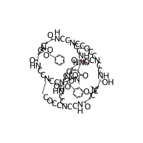 Cn1c2ccc(c1=O)C(=O)NCCN1CCNC(=O)c3ccc(c(=O)n3OCc3ccccc3)C(=O)NCCN(CCNC2=O)CCOCCN2CCNC(=O)c3ccc(n(C)c3=O)C(O)NCCN(CCNC(=O)c3ccc(n(OCc4ccccc4)c3=O)C(=O)NCC2)CCOCC1